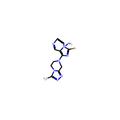 N[N+]12C=CN=CC1=C(N1CCn3c(nnc3C(F)(F)F)C1)N=C2Br